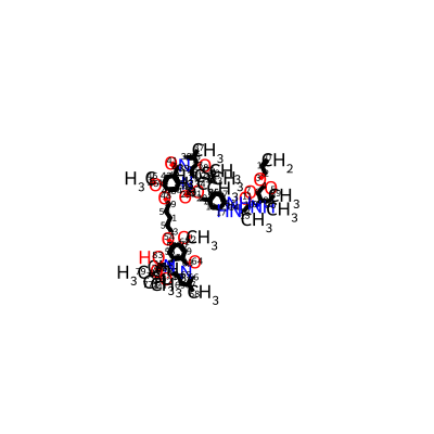 C=CCOC(=O)C(=O)C(NC(=O)C(C)NNc1ccc(COC(=O)N2CC3C(O[Si](C)(C)C(C)(C)C)C(C)=CN3C(=O)c3cc(OC)c(OCCCCCOc4cc5c(cc4OC)C(=O)N4C=C(C)CC4[C@H](O[Si](C)(C)C(C)(C)C)N5C(=O)O)cc32)cc1)C(C)C